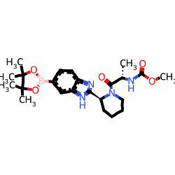 COC(=O)N[C@@H](C)C(=O)N1CCCC[C@H]1c1nc2ccc(B3OC(C)(C)C(C)(C)O3)cc2[nH]1